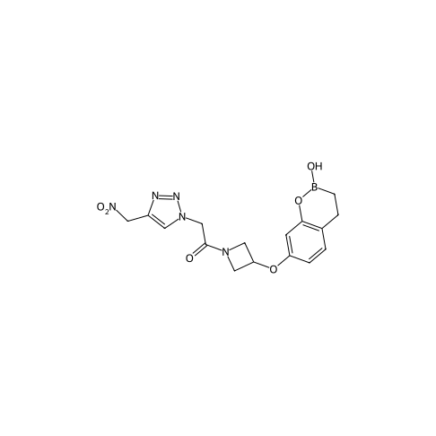 O=C(Cn1cc(C[N+](=O)[O-])nn1)N1CC(Oc2ccc3c(c2)OB(O)CC3)C1